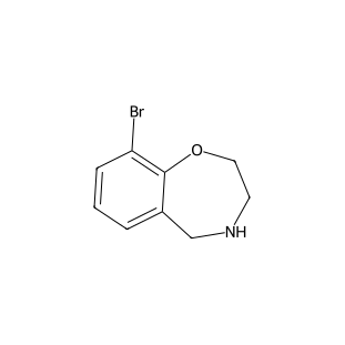 Brc1cccc2c1OCCNC2